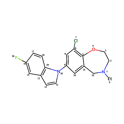 CCN1CCOc2c(Cl)cc(-n3ccc4cc(F)ccc43)cc2C1